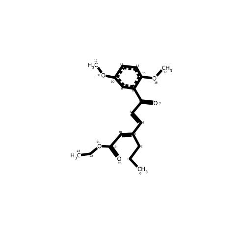 CCCC(C=CC(=O)c1cc(OC)ccc1OC)=CC(=O)OCC